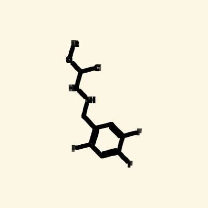 CCOC(Cl)NNCc1cc(F)c(F)cc1F